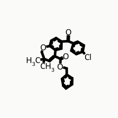 CC1(C)C=C(C(=O)OCc2ccccc2)c2cc(C(=O)c3ccc(Cl)cc3)ccc2OC1